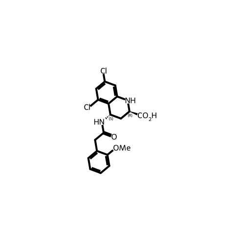 COc1ccccc1CC(=O)N[C@H]1C[C@H](C(=O)O)Nc2cc(Cl)cc(Cl)c21